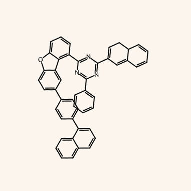 C1=CC2=CC(c3nc(-c4ccccc4)nc(-c4cccc5oc6ccc(-c7ccc(-c8cccc9ccccc89)cc7)cc6c45)n3)=CCC2C=C1